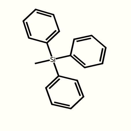 C[Si](c1ccccc1)(c1ccccc1)c1ccccc1